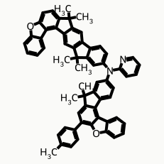 Cc1ccc(-c2cc3c(c4c2oc2ccccc24)-c2ccc(N(c4ccc5c(c4)C(C)(C)c4cc6c(cc4-5)C(C)(C)c4ccc5oc7ccccc7c5c4-6)c4ccccn4)cc2C3(C)C)cc1